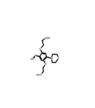 COCCOc1cc(N2CCSCC2)c(OCCOC)cc1N=N